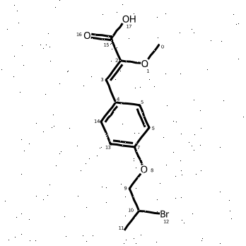 COC(=Cc1ccc(OCC(C)Br)cc1)C(=O)O